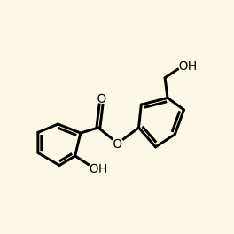 O=C(Oc1cccc(CO)c1)c1ccccc1O